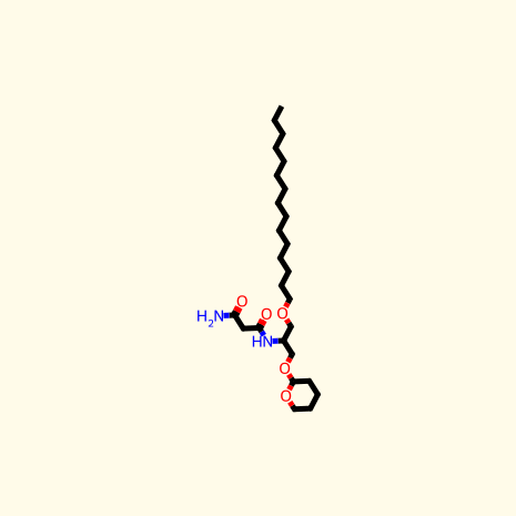 CCCCCCCCCCCCCCCOCC(COC1CCCCO1)NC(=O)CC(N)=O